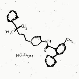 Cc1ccc(-c2ccccc2)c(C(=O)NC2CCN(CCCC(C)(C)c3ccccc3)CC2)c1.O=C(O)O